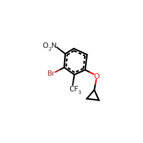 O=[N+]([O-])c1ccc(OC2CC2)c(C(F)(F)F)c1Br